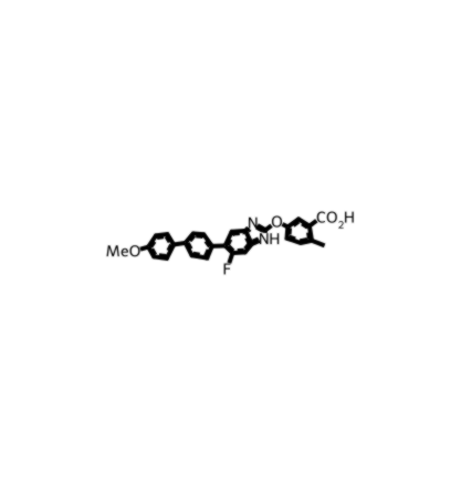 COc1ccc(-c2ccc(-c3cc4nc(Oc5ccc(C)c(C(=O)O)c5)[nH]c4cc3F)cc2)cc1